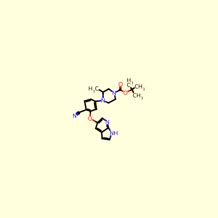 CC1CN(C(=O)OC(C)(C)C)CCN1c1ccc(C#N)c(Oc2cnc3[nH]ccc3c2)c1